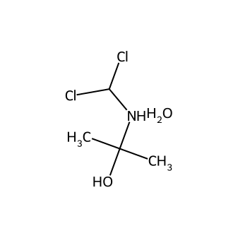 CC(C)(O)NC(Cl)Cl.O